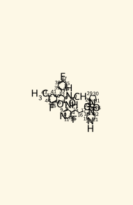 CC(=O)N[C@H](C(=O)Nc1cncc(F)c1CCC[C@H]1CNCCN1S(=O)(=O)N1CCCC1)[C@@H](c1ccc(F)cc1)c1cc(C)cc(F)c1